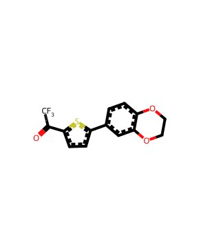 O=C(c1ccc(-c2ccc3c(c2)OCCO3)s1)C(F)(F)F